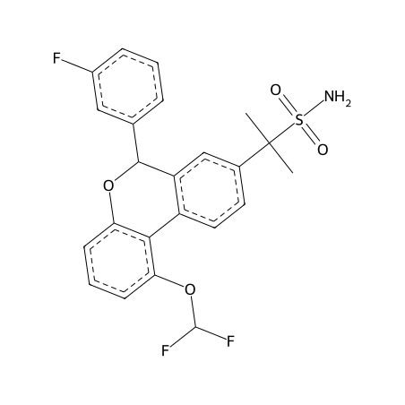 CC(C)(c1ccc2c(c1)C(c1cccc(F)c1)Oc1cccc(OC(F)F)c1-2)S(N)(=O)=O